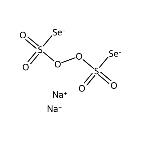 O=S(=O)([Se-])OOS(=O)(=O)[Se-].[Na+].[Na+]